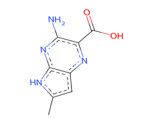 Cc1cc2nc(C(=O)O)c(N)nc2[nH]1